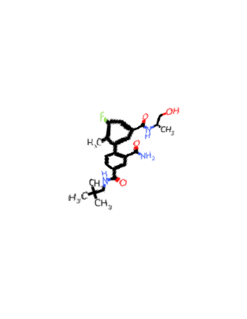 Cc1c(F)cc(C(=O)N[C@H](C)CO)cc1-c1ccc(C(=O)NCC(C)(C)C)cc1C(N)=O